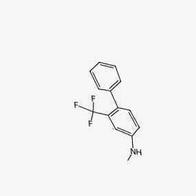 CNc1[c]c(C(F)(F)F)c(-c2ccccc2)cc1